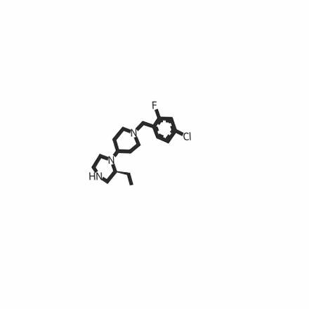 CC[C@H]1CNCCN1C1CCN(Cc2ccc(Cl)cc2F)CC1